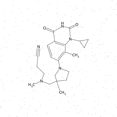 Cc1c(N2CCC(C)(CN(C)CCC#N)C2)ccc2c(=O)[nH]c(=O)n(C3CC3)c12